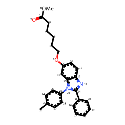 COC(=O)CCCCCOc1ccc2nc(-c3ccccc3)n(-c3ccc(C)cc3)c2c1